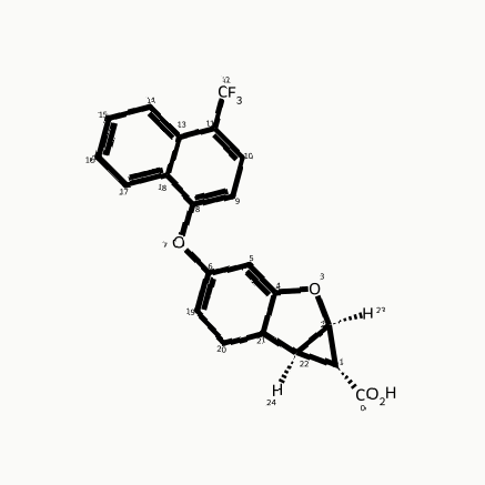 O=C(O)[C@H]1[C@@H]2OC3=CC(Oc4ccc(C(F)(F)F)c5ccccc45)=CCC3[C@@H]21